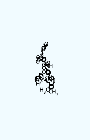 C=C(Cl)CCC1=C(CN2CCN(c3ccc(C(=O)NS(=O)(=O)c4ccc(OCCN5CC6(COC6)C5)c([N+](=O)[O-])c4)c(Oc4cnc5[nH]ccc5c4)c3)CC2)CCC(C)(C)C1